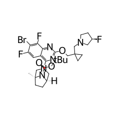 CC(C)(C)OC(=O)N1[C@@H]2CC[C@@]1(C)CN(c1nc(OCC3(CN4CC[C@@H](F)C4)CC3)nc3c(F)c(Br)c(F)cc13)C2